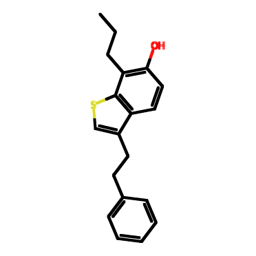 CCCc1c(O)ccc2c(CCc3ccccc3)csc12